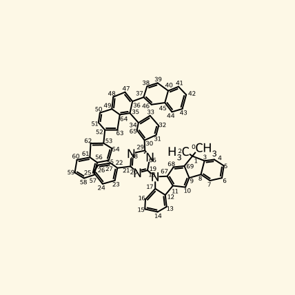 CC1(C)c2ccccc2-c2cc3c4ccccc4n(-c4nc(-c5ccccc5)nc(-c5cccc(-c6c(-c7ccc8ccccc8c7)ccc7ccc(-c8ccc9ccccc9c8)cc67)c5)n4)c3cc21